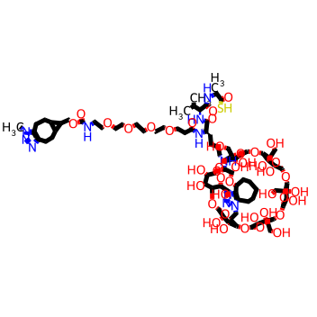 CC(C)[C@H](NC(=O)[C@@H](CCCCNC(=O)COC1CCCCCc2c1nnn2CC1OC2OC3C(CO)OC(OC4C(CO)OC(OC5C(CO)OC(OC6C(CO)OC(OC7C(CO)OC(OC1C(O)C2O)C(O)C7O)C(O)C6O)C(O)C5O)C(O)C4O)C(O)C3O)NC(=O)CCOCCOCCOCCOCCNC(=O)OCC1C2CCc3nnn(C)c3CCC21)C(=O)N[C@@H](C)C(=O)S